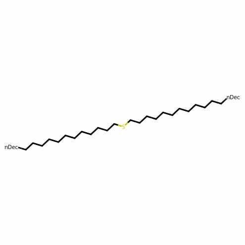 CCCCCCCCCCCCCCCCCCCCCCSCCCCCCCCCCCCCCCCCCCCCC